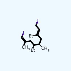 CC/C(=C\CI)C[C@H](C)C(CC)C/C(C)=C\I